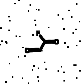 O=[C]C(=O)F